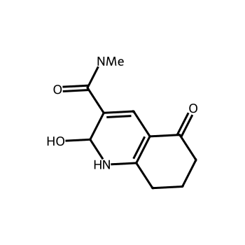 CNC(=O)C1=CC2=C(CCCC2=O)NC1O